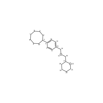 c1cc(C2CCCCCCC2)ccc1COCC1CCCCO1